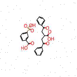 O=C(CC(CC(=O)c1ccccc1)C(=O)O)c1ccccc1.O=C(O)c1cccc(S(=O)(=O)O)c1